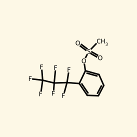 CS(=O)(=O)Oc1ccccc1C(F)(F)C(F)(F)C(F)(F)F